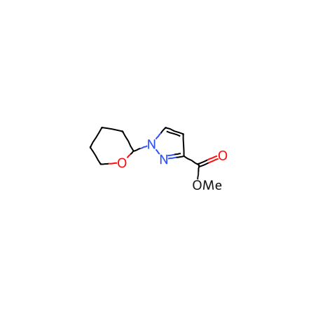 COC(=O)c1ccn(C2CCCCO2)n1